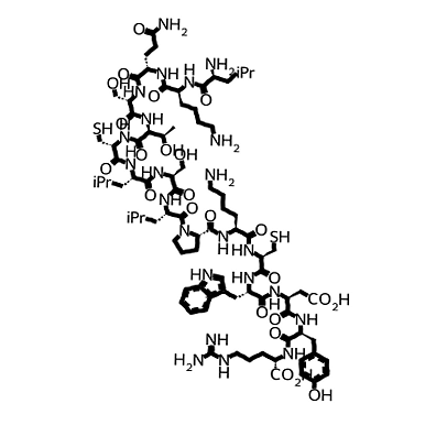 CC(C)C[C@H](NC(=O)[C@H](CS)NC(=O)[C@@H](NC(=O)[C@H](CO)NC(=O)[C@H](CCC(N)=O)NC(=O)[C@H](CCCCN)NC(=O)[C@@H](N)CC(C)C)[C@@H](C)O)C(=O)N[C@@H](CO)C(=O)N[C@@H](CC(C)C)C(=O)N1CCC[C@H]1C(=O)N[C@@H](CCCCN)C(=O)N[C@@H](CS)C(=O)N[C@@H](Cc1c[nH]c2ccccc12)C(=O)N[C@@H](CC(=O)O)C(=O)N[C@@H](Cc1ccc(O)cc1)C(=O)N[C@@H](CCCNC(=N)N)C(=O)O